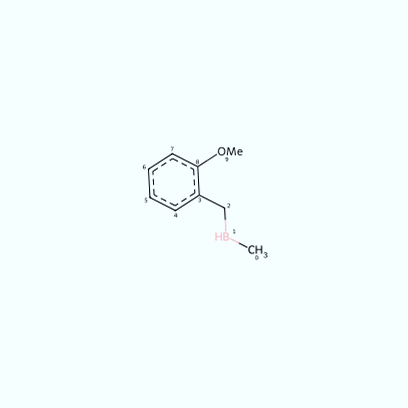 CBCc1ccccc1OC